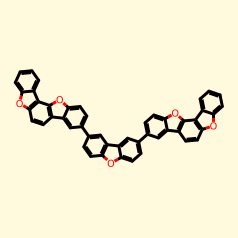 c1ccc2c(c1)oc1ccc3c4cc(-c5ccc6oc7ccc(-c8ccc9oc%10c(ccc%11oc%12ccccc%12c%11%10)c9c8)cc7c6c5)ccc4oc3c12